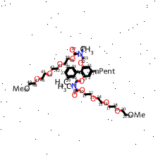 CCCCCc1cc(OCN(C)C(=O)OCCOCCOCCOCCOC)c(-c2cccc(C)c2)c(OCN(C)C(=O)OCCOCCOCCOCCOC)c1